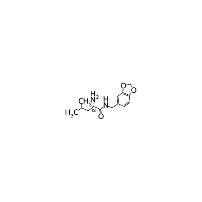 CC(C)C[C@H](N)C(=O)NCc1ccc2c(c1)OCO2